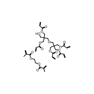 C=C(C)C(=O)OCCOC(=O)C(=C)C.C=CC(=O)OCC(CO)(COCC(COC(=O)C=C)(COC(=O)C=C)COC(=O)C=C)COC(=O)C=C